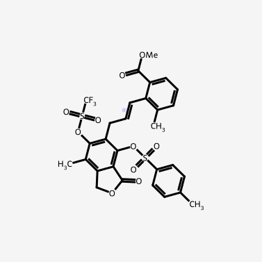 COC(=O)c1cccc(C)c1/C=C/Cc1c(OS(=O)(=O)C(F)(F)F)c(C)c2c(c1OS(=O)(=O)c1ccc(C)cc1)C(=O)OC2